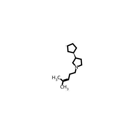 CC(C)=CCCN1CCC([C@H]2C[CH]CC2)C1